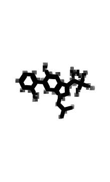 CC(C)Cn1cc([C@H](N)C(F)(F)F)c2cc(F)c(-c3ccccc3Cl)cc21